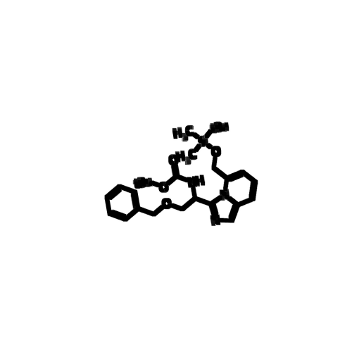 CC(C)(C)OC(=O)NC(COCc1ccccc1)c1ncc2cccc(CO[Si](C)(C)C(C)(C)C)n12